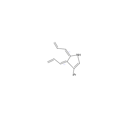 C=C/C=c1/c(C(C)C)c[nH]/c1=C/C=C